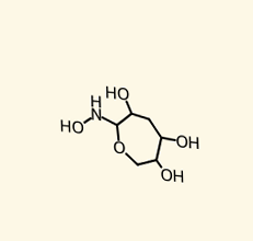 ONC1OCC(O)C(O)CC1O